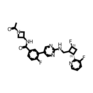 CC(=O)N1CC(NC(=O)c2ccc(F)c(-c3cnc(NCC4[C@@H](c5ncccc5F)C[C@@H]4F)nc3)c2)C1